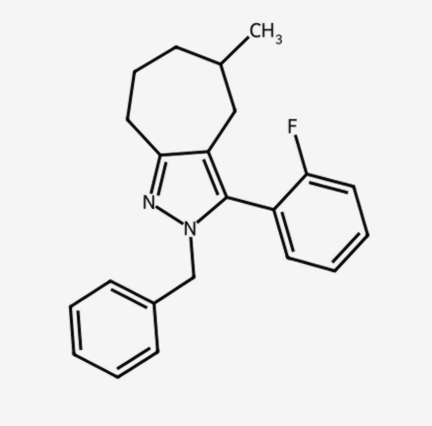 CC1CCCc2nn(Cc3ccccc3)c(-c3ccccc3F)c2C1